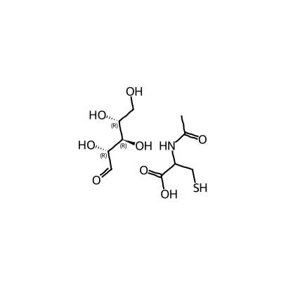 CC(=O)NC(CS)C(=O)O.O=C[C@H](O)[C@H](O)[C@H](O)CO